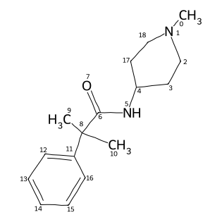 CN1CCC(NC(=O)C(C)(C)c2ccccc2)CC1